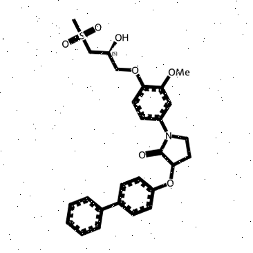 COc1cc(N2CCC(Oc3ccc(-c4ccccc4)cc3)C2=O)ccc1OC[C@H](O)CS(C)(=O)=O